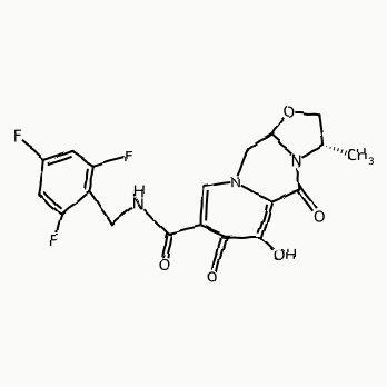 C[C@H]1COC2Cn3cc(C(=O)NCc4c(F)cc(F)cc4F)c(=O)c(O)c3C(=O)N21